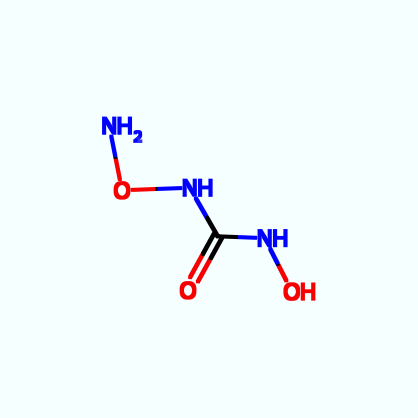 NONC(=O)NO